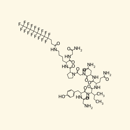 CCC(C)C(NC(=O)C(Cc1ccc(O)cc1)NC(=O)CN)C(=O)NC(CCC(N)=O)C(=O)NC(CC(N)=O)C(=O)NCC(=O)N1CCCC1C(=O)NC(CCCCNC(=O)CCC(F)(F)C(F)(F)C(F)(F)C(F)(F)C(F)(F)C(F)(F)C(F)(F)C(F)(F)F)C(=O)NCC(N)=O